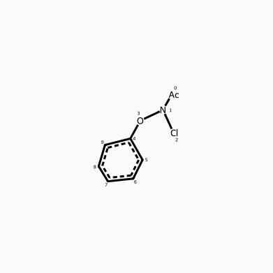 CC(=O)N(Cl)Oc1ccccc1